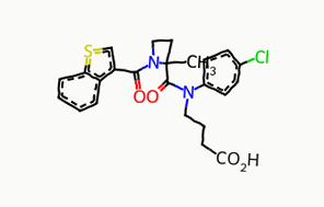 CC1(C(=O)N(CCCC(=O)O)c2ccc(Cl)cc2)CCN1C(=O)c1csc2ccccc12